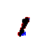 CC(=O)Nc1ccc(OCCOC(=O)CC(=O)/C=C\c2ccccc2[N+](=O)[O-])cc1